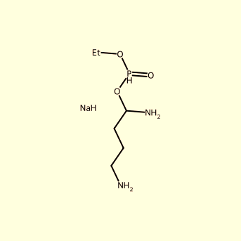 CCO[PH](=O)OC(N)CCCN.[NaH]